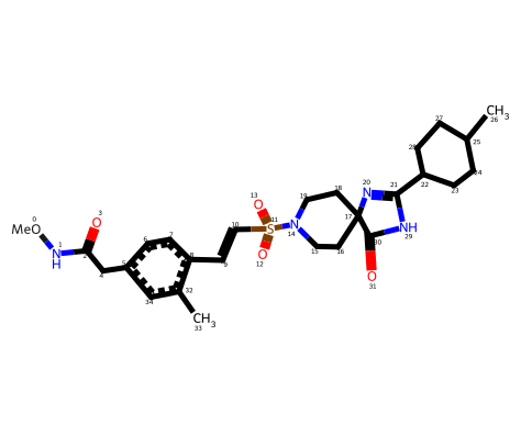 CONC(=O)Cc1ccc(C=CS(=O)(=O)N2CCC3(CC2)N=C(C2CCC(C)CC2)NC3=O)c(C)c1